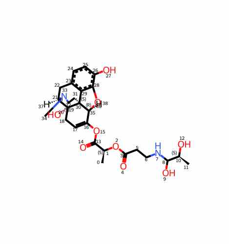 C[C@H](OC(=O)CCNC(O)[C@H](C)O)C(=O)OC1=CC[C@@]2(O)[C@H]3Cc4ccc(O)c5c4[C@@]2(CCN3C)[C@H]1O5